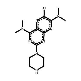 CN(C)c1nc2nc(N3CCNCC3)nc(N(C)C)c2nc1Cl